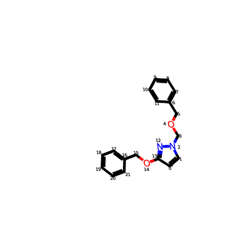 [c]1cn(COCc2ccccc2)nc1OCc1ccccc1